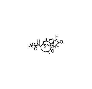 C=C1/C=C(\SCCN(C)C)C(NC(=O)OC(C)(C)C)CCCC(C)C(=O)Nc2cc(NC(=O)OC)ccc21